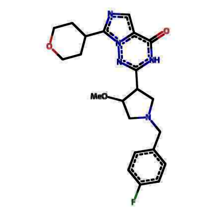 COC1CN(Cc2ccc(F)cc2)CC1c1nn2c(C3CCOCC3)ncc2c(=O)[nH]1